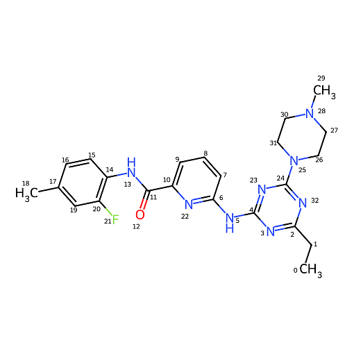 CCc1nc(Nc2cccc(C(=O)Nc3ccc(C)cc3F)n2)nc(N2CCN(C)CC2)n1